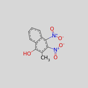 Cc1c([N+](=O)[O-])c([N+](=O)[O-])c2ccccc2c1O